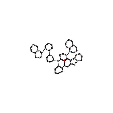 c1cc(-c2ccccc2-c2cccc3ccccc23)cc(N(c2ccc(-c3cccc4ccccc34)cc2)c2ccccc2-c2ccc3c(c2)sc2ccccc23)c1